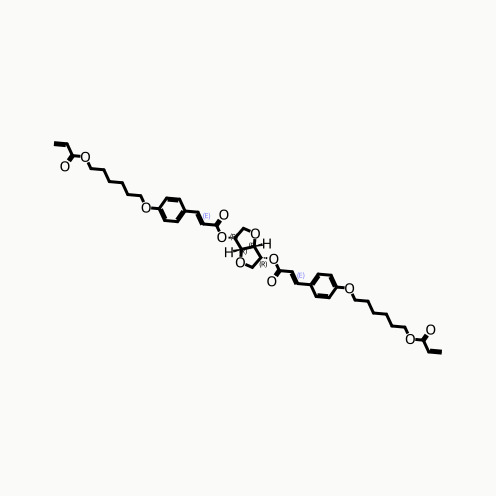 C=CC(=O)OCCCCCCOc1ccc(/C=C/C(=O)O[C@@H]2CO[C@H]3[C@@H]2OC[C@H]3OC(=O)/C=C/c2ccc(OCCCCCCOC(=O)C=C)cc2)cc1